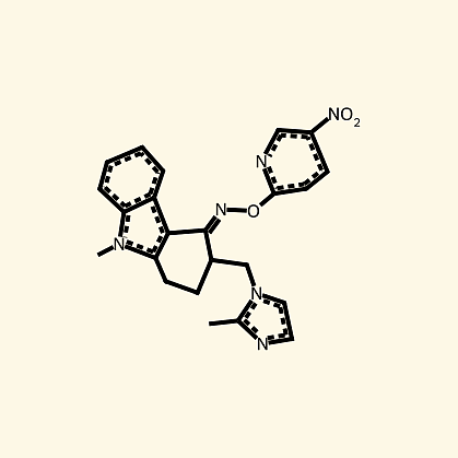 Cc1nccn1CC1CCc2c(c3ccccc3n2C)/C1=N/Oc1ccc([N+](=O)[O-])cn1